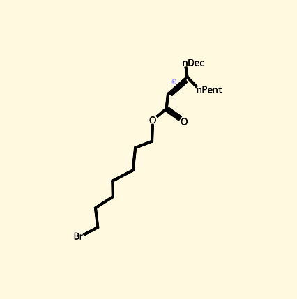 CCCCCCCCCC/C(=C/C(=O)OCCCCCCCBr)CCCCC